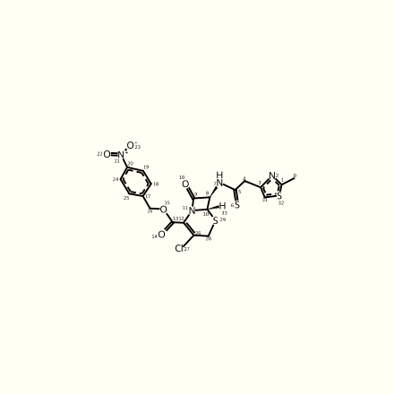 Cc1nc(CC(=S)N[C@@H]2C(=O)N3C(C(=O)OCc4ccc([N+](=O)[O-])cc4)=C(Cl)CS[C@@H]23)cs1